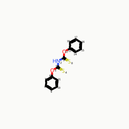 S=C(NC(=S)Oc1ccccc1)Oc1ccccc1